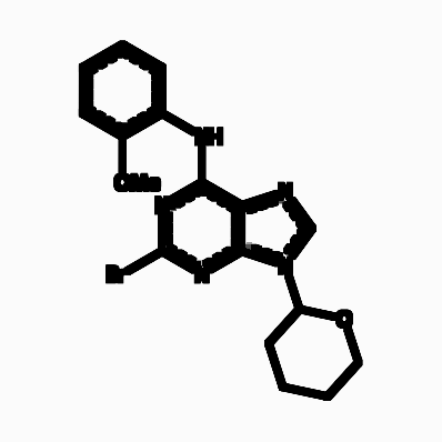 COc1ccccc1Nc1nc(Br)nc2c1ncn2C1CCCCO1